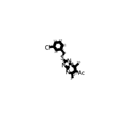 CC(=O)c1c(C)nc2nc(SCc3cccc(Cl)c3)nn2c1C